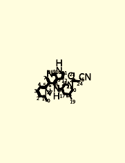 Cc1cccc(-c2cnc3[nH]ccc3c2N[C@@H]2C[C@H](C)CN(C(=O)CC#N)C2)n1